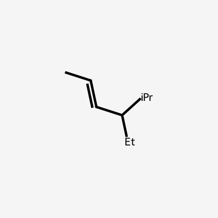 CC=CC(CC)C(C)C